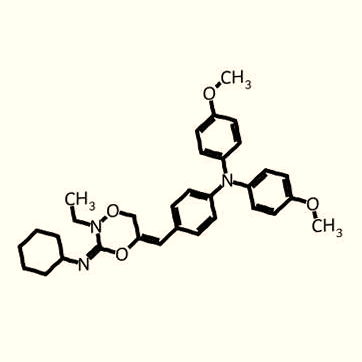 CCN1OC/C(=C\c2ccc(N(c3ccc(OC)cc3)c3ccc(OC)cc3)cc2)O/C1=N/C1CCCCC1